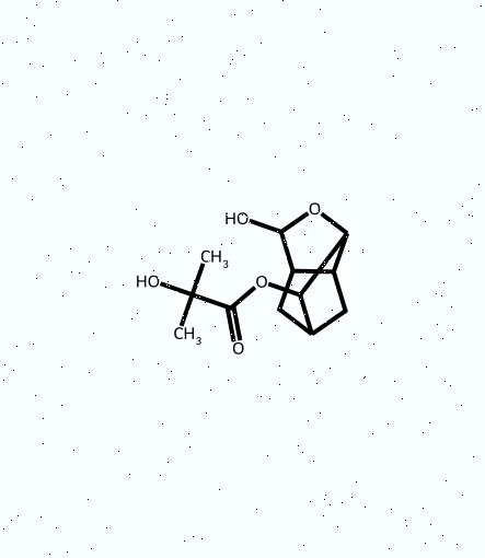 CC(C)(O)C(=O)OC1C2CC3C(O)OC1C3C2